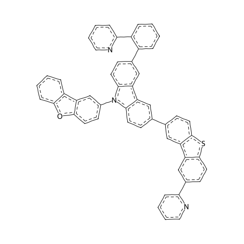 c1ccc(-c2ccc3sc4ccc(-c5ccc6c(c5)c5cc(-c7ccccc7-c7ccccn7)ccc5n6-c5ccc6oc7ccccc7c6c5)cc4c3c2)nc1